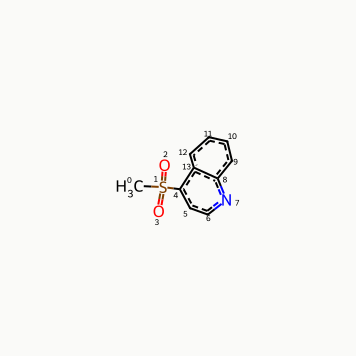 CS(=O)(=O)c1ccnc2ccccc12